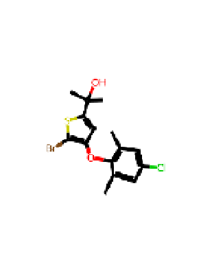 Cc1cc(Cl)cc(C)c1Oc1cc(C(C)(C)O)sc1Br